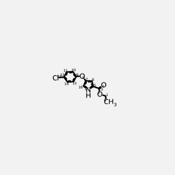 CCOC(=O)c1cc(Oc2ccc(Cl)cc2)c[nH]1